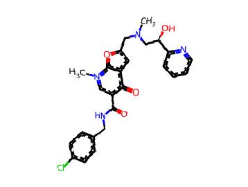 CN(Cc1cc2c(=O)c(C(=O)NCc3ccc(Cl)cc3)cn(C)c2o1)C[C@@H](O)c1ccccn1